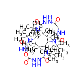 CC(C)(C)N1C(=O)NCC(=O)NNC(=O)N(C(C)(C)C)C2C3N(C(C)(C)C)C(=O)NOC(=O)NNC(=O)N(C(C)(C)C)C(C1C(C)(C)C2(C)C)C(C)(C)C3(C)C